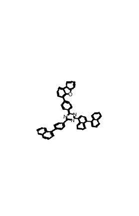 C1=CC2Oc3c(-c4ccc(-c5nc(-c6ccc(-c7cccc8ccccc78)cc6)nc(-c6ccc(-c7cccc8ccccc78)c7ccccc67)n5)cc4)cccc3C2C=C1